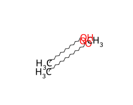 CCCCCCCCCCCCCCCC(=O)OC.CCCCCCCCCCCCCCO